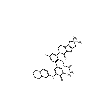 CC(=O)OCc1c(-c2cc(NC3=C=CN4CCCCC4C3)c(=O)n(C)c2)cc(F)cc1N1CCn2c(cc3c2CC(C)(C)C3)C1=O